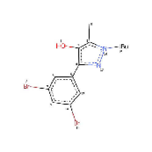 Cc1c(O)c(-c2cc(Br)cc(Br)c2)nn1C(C)(C)C